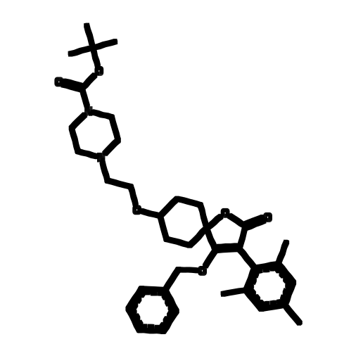 Cc1cc(C)c(C2=C(OCc3ccccc3)C3(CCC(OCCN4CCN(C(=O)OC(C)(C)C)CC4)CC3)OC2=O)c(C)c1